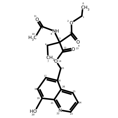 CCOC(=O)C(CC)(NC(C)=O)C(=O)OCc1ccc(O)c2ncccc12